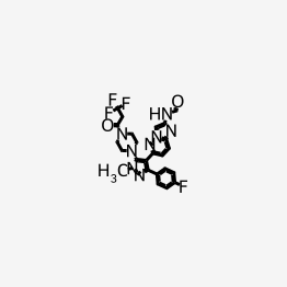 Cn1nc(-c2ccc(F)cc2)c(-c2ccc3nc(NC=O)cn3n2)c1N1CCN(C(=O)CC(F)(F)F)CC1